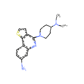 CN(C)C1CCN(c2nc3cc(N)ccc3c3sccc23)CC1